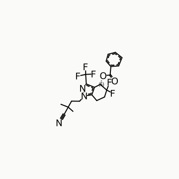 CC(C)(C#N)CCn1nc(C(F)(F)F)c2c1CCC(F)(F)[C@H]2OC(=O)c1ccccc1